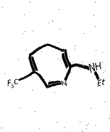 CCNC1=CCC=C(C(F)(F)F)C=N1